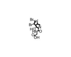 Cn1c(Br)c(Br)c2c(O)c(C(=O)NCC(=O)O)ncc21